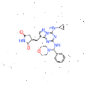 O=C1C/C(=C\c2cnn3c(NC4CC4)nc(NC(c4ccccc4)N4CCOCC4)nc23)C(=O)N1